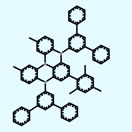 Cc1cc(C)c(-c2cc3c4c(c2)N(c2cc(-c5ccccc5)cc(-c5ccccc5)c2)c2ccc(C)cc2B4c2cc(C)ccc2N3c2cc(-c3ccccc3)cc(-c3ccccc3)c2)c(C)c1